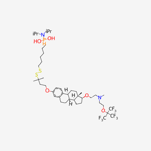 CC(C)N(C(C)C)[PH](O)(O)CCCCCCSSC(C)(C)CCOc1ccc2c(c1)CC[C@@H]1[C@@H]2CC[C@]2(C)[C@@H](OCCN(C)CCOC(C(F)(F)F)(C(F)(F)F)C(F)(F)F)CC[C@@H]12